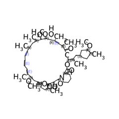 CO[C@H]1C[C@@H]2CC[C@@H](C)[C@@](O)(O2)C(=O)C(=O)N2CCCC[C@H]2C(=O)O[C@H]([C@H](C)C[C@@H]2CC[C@H](C)[C@H](OC)C2)CC(=O)[C@H](C)/C=C(\C)[C@@H](O)[C@@H](OC)C(=O)[C@H](C)C[C@H](C)/C=C/C=C/C=C/1C